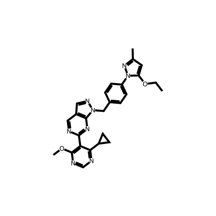 CCOc1cc(C)nn1-c1ccc(Cn2ncc3cnc(-c4c(OC)ncnc4C4CC4)nc32)cc1